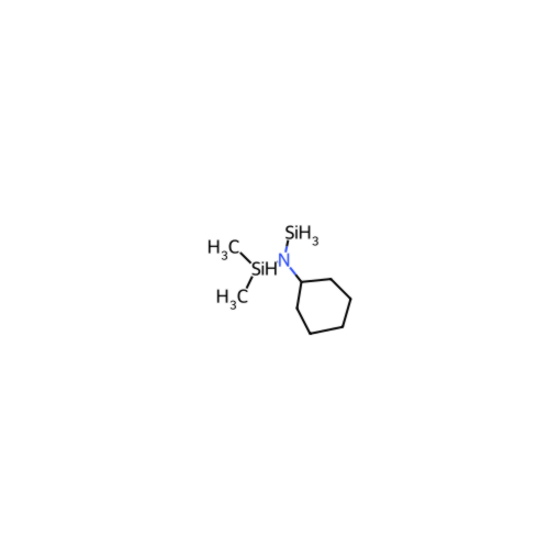 C[SiH](C)N([SiH3])C1CCCCC1